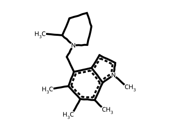 Cc1c(C)c(C)c2c(ccn2C)c1CN1CCCCC1C